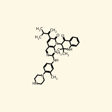 C=C(c1cc2cnc(Nc3ccc(N4CCNCC4)c(C)c3)nc2n(C2C(=O)c3ccccc3NC2(C)C)c1=O)C(C)C